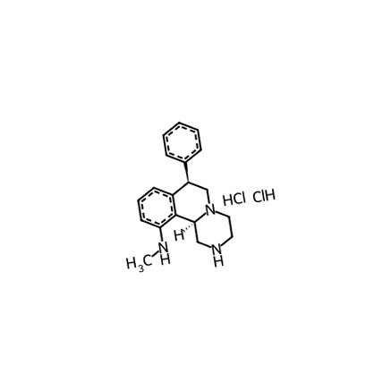 CNc1cccc2c1[C@@H]1CNCCN1C[C@@H]2c1ccccc1.Cl.Cl